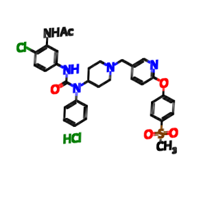 CC(=O)Nc1cc(NC(=O)N(c2ccccc2)C2CCN(Cc3ccc(Oc4ccc(S(C)(=O)=O)cc4)nc3)CC2)ccc1Cl.Cl